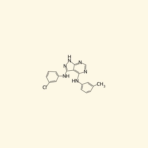 Cc1cccc(Nc2ncnc3[nH]nc(Nc4cccc(Cl)c4)c23)c1